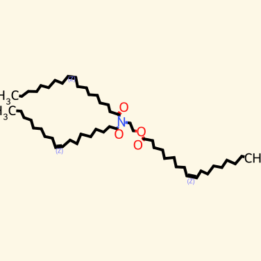 CCCCCCCC/C=C\CCCCCCCC(=O)OCCN(C(=O)CCCCCCC/C=C\CCCCCCCC)C(=O)CCCCCCC/C=C\CCCCCCCC